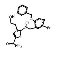 CCN(Cc1cc(Br)ccc1OCc1ccccc1)C1SC(C(N)=O)=CN1CCO